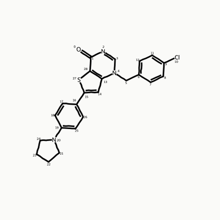 O=c1ncn(Cc2ccc(Cl)cc2)c2cc(-c3ccc(N4CCCC4)cc3)sc12